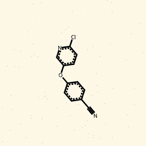 N#Cc1ccc(Oc2ccc(Cl)nc2)cc1